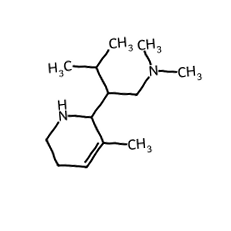 CC1=CCCNC1C(CN(C)C)C(C)C